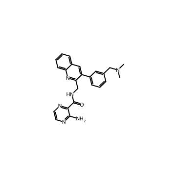 CN(C)Cc1cccc(-c2cc3ccccc3nc2CNC(=O)c2nccnc2N)c1